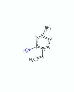 Bc1ccc(C=C)c(N)c1